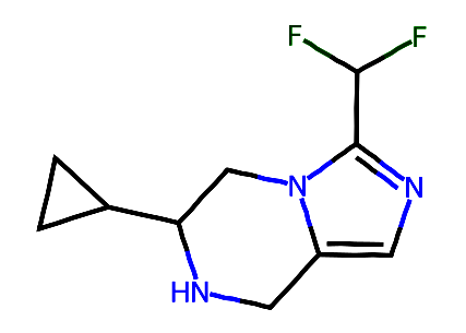 FC(F)c1ncc2n1CC(C1CC1)NC2